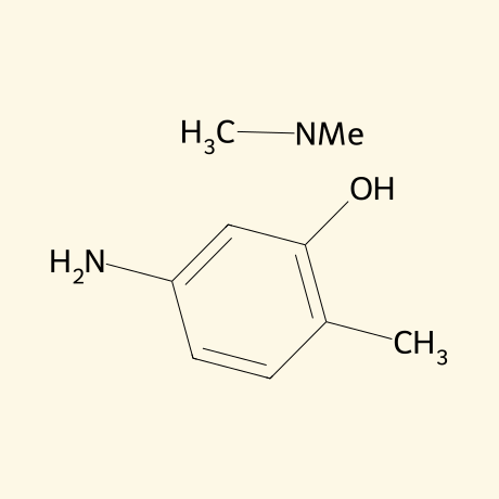 CNC.Cc1ccc(N)cc1O